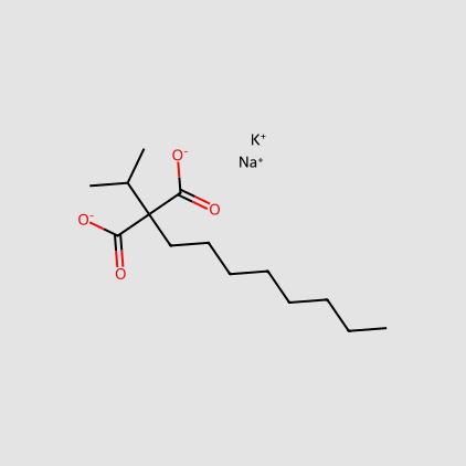 CCCCCCCCC(C(=O)[O-])(C(=O)[O-])C(C)C.[K+].[Na+]